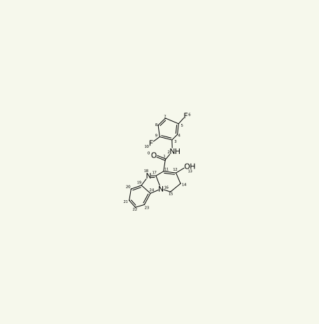 O=C(Nc1cc(F)ccc1F)C1=C(O)CCn2c1nc1ccccc12